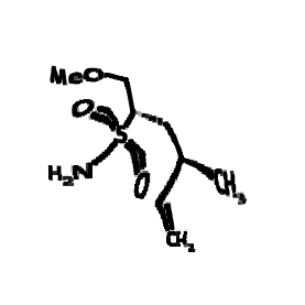 C=C[C@H](C)C[C@@H](COC)S(N)(=O)=O